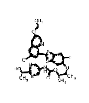 CCOc1cnc2c(-c3nc4cc(F)c(O[C@@H](C)[C@@H](C)OC(=O)Nc5cnc([C@@H](C)O)nc5)cc4s3)cc(Cl)cc2c1